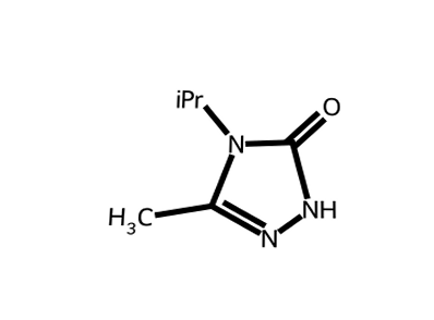 Cc1n[nH]c(=O)n1C(C)C